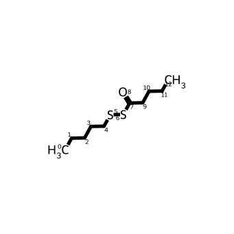 CCCCCSSC(=O)CCCC